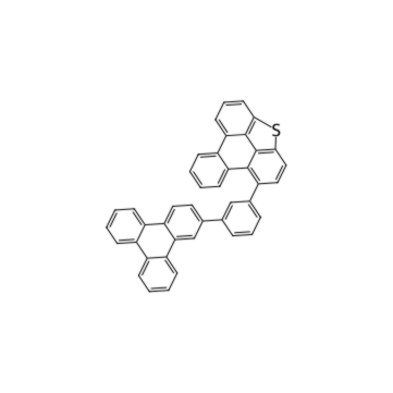 c1cc(-c2ccc3c4ccccc4c4ccccc4c3c2)cc(-c2ccc3sc4cccc5c6ccccc6c2c3c45)c1